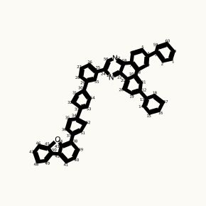 c1ccc(-c2ccc3c(c2)c2cc(-c4ccccc4)ccc2c2nc(-c4cccc(-c5ccc(-c6ccc(-c7cccc8c7oc7ccccc78)cc6)cc5)c4)cnc32)cc1